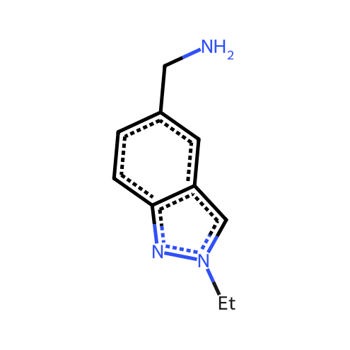 CCn1cc2cc(CN)ccc2n1